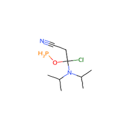 CC(C)N(C(C)C)C(Cl)(CC#N)OP